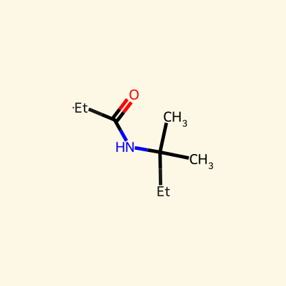 C[CH]C(=O)NC(C)(C)CC